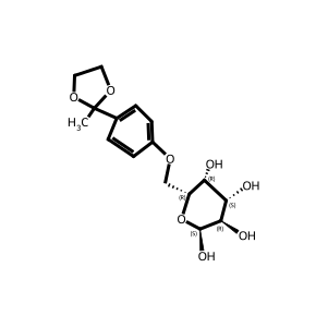 CC1(c2ccc(OC[C@H]3O[C@H](O)[C@H](O)[C@@H](O)[C@H]3O)cc2)OCCO1